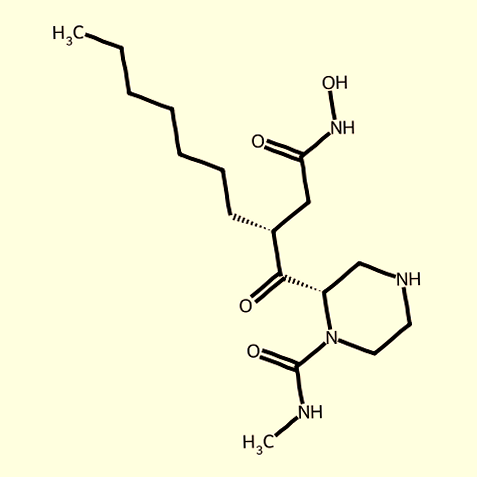 CCCCCCC[C@H](CC(=O)NO)C(=O)[C@@H]1CNCCN1C(=O)NC